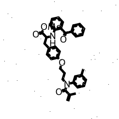 C=C(C)C(=O)N(CCCOc1ccc(CC(Nc2ccccc2C(=O)c2ccccc2)C(=O)OC)cc1)c1cccc(C)c1